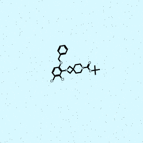 CC(C)(C)OC(=O)N1CCC2(CC1)CN(c1c(OCc3ccccc3)ccc(Cl)c1Cl)C2